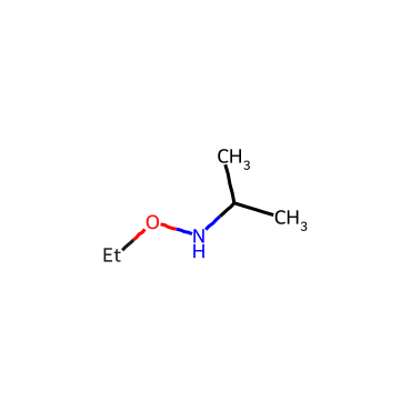 CCONC(C)C